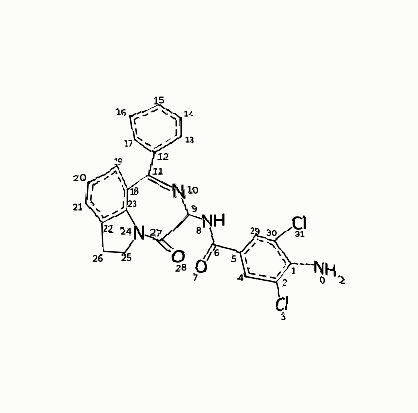 Nc1c(Cl)cc(C(=O)NC2N=C(c3ccccc3)c3cccc4c3N(CC4)C2=O)cc1Cl